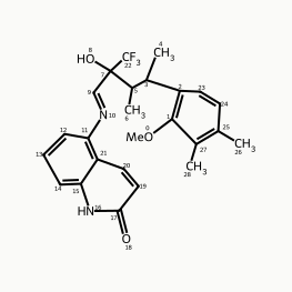 COc1c(C(C)C(C)C(O)(C=Nc2cccc3[nH]c(=O)ccc23)C(F)(F)F)ccc(C)c1C